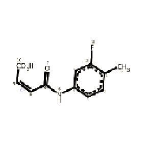 Cc1ccc(NC(=O)/C=C\C(=O)O)cc1F